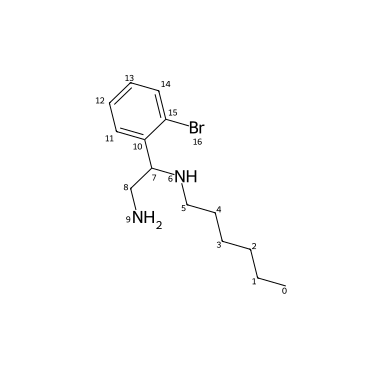 CCCCCCNC(CN)c1ccccc1Br